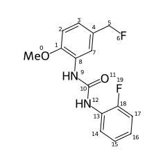 COc1ccc(CF)cc1NC(=O)Nc1ccccc1F